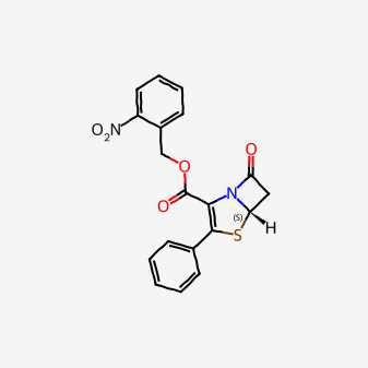 O=C(OCc1ccccc1[N+](=O)[O-])C1=C(c2ccccc2)S[C@H]2CC(=O)N12